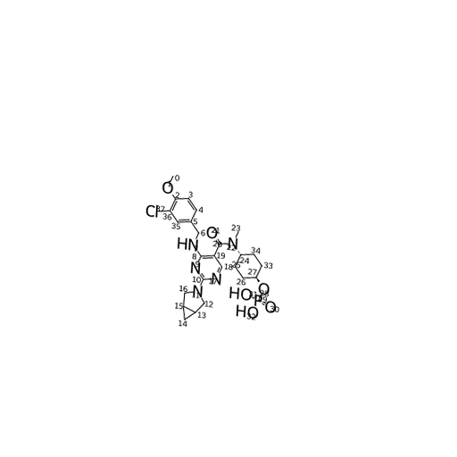 COc1ccc(CNc2nc(N3CC4CC4C3)ncc2C(=O)N(C)[C@H]2CC[C@H](OP(=O)(O)O)CC2)cc1Cl